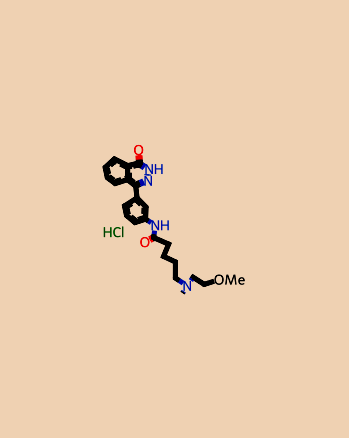 COCCN(C)CCCCC(=O)Nc1cccc(-c2n[nH]c(=O)c3ccccc23)c1.Cl